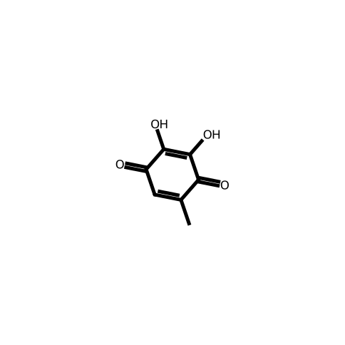 CC1=CC(=O)C(O)=C(O)C1=O